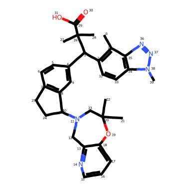 Cc1c(C(c2ccc3c(c2)C(N2Cc4ncccc4OC(C)(C)C2)CC3)C(C)(C)C(=O)O)ccc2c1nnn2C